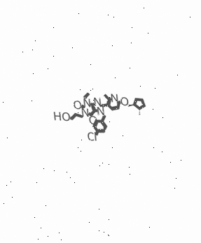 CCn1c(=O)n(CCCO)c(=O)c2c1nc(-c1ccc(OC[C@H]3CCC[C@@H]3C)nc1C)n2Cc1ccc(Cl)cc1